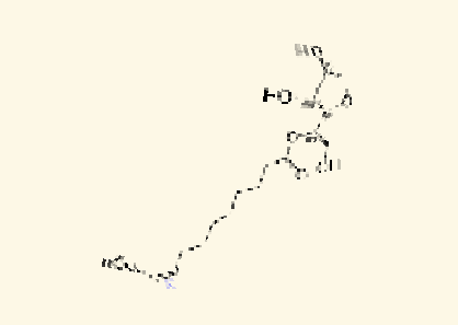 CCCCCCCC/C=C\CCCCCCCC(=O)O[C@H](CO)[C@H]1OC[C@H](O)[C@H]1O